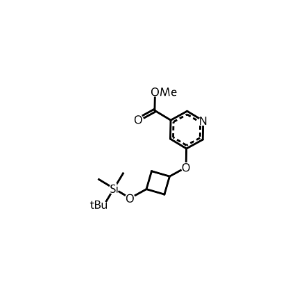 COC(=O)c1cncc(OC2CC(O[Si](C)(C)C(C)(C)C)C2)c1